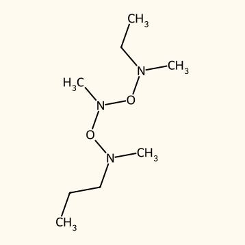 CCCN(C)ON(C)ON(C)CC